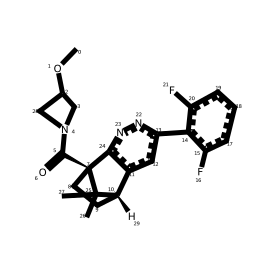 COC1CN(C(=O)[C@@]23CC[C@@H](c4cc(-c5c(F)cccc5F)nnc42)C3(C)C)C1